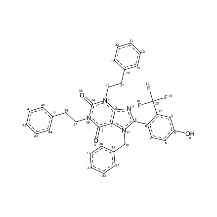 O=c1c2c(nc(-c3ccc(O)cc3C(F)(F)F)n2Cc2ccccc2)n(CCc2ccccc2)c(=O)n1CCc1ccccc1